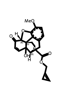 COc1ccc2c3c1O[C@H]1C(=O)C=CC4(O)[C@@H](C2)N(C(=O)OCC2=CC2)CC[C@]314